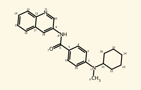 CN(c1ccc(C(=O)Nc2cnc3ccccc3c2)cc1)C1CCCCC1